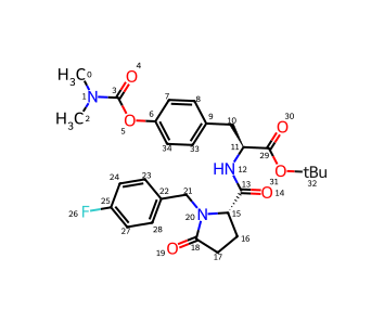 CN(C)C(=O)Oc1ccc(C[C@H](NC(=O)[C@@H]2CCC(=O)N2Cc2ccc(F)cc2)C(=O)OC(C)(C)C)cc1